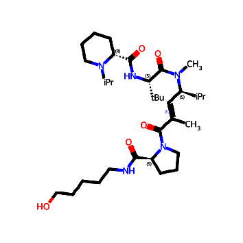 C/C(=C\[C@H](C(C)C)N(C)C(=O)[C@@H](NC(=O)[C@H]1CCCCN1C(C)C)C(C)(C)C)C(=O)N1CCC[C@H]1C(=O)NCCCCCO